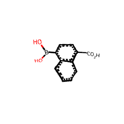 O=C(O)c1ccc(B(O)O)c2ccccc12